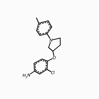 Cc1ccc(N2CCC(Oc3ccc(N)cc3Cl)C2)cc1